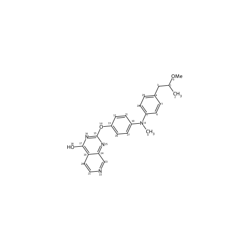 COC(C)Cc1ccc(N(C)c2ccc(Oc3nc(O)c4ccncc4n3)cc2)cc1